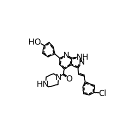 O=C(c1cc(-c2ccc(O)cc2)nc2[nH]nc(C=Cc3cccc(Cl)c3)c12)N1CCNCC1